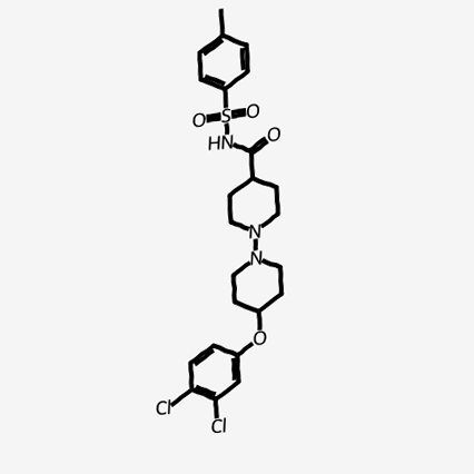 Cc1ccc(S(=O)(=O)NC(=O)C2CCN(N3CCC(Oc4ccc(Cl)c(Cl)c4)CC3)CC2)cc1